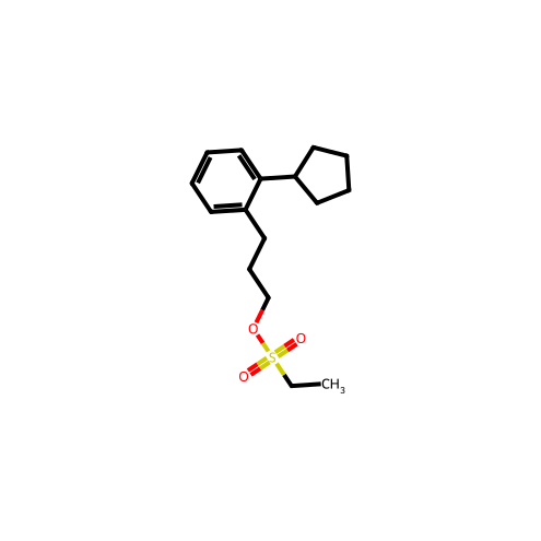 CCS(=O)(=O)OCCCc1ccccc1C1CCCC1